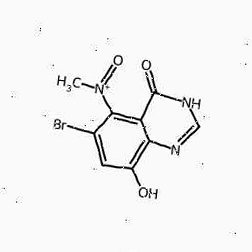 C[N+](=O)c1c(Br)cc(O)c2nc[nH]c(=O)c12